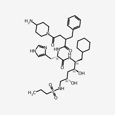 CCCS(=O)(=O)NC[C@@H](O)C[C@H](O)[C@H](CC1CCCCC1)NC(=O)[C@H](Cc1c[nH]cn1)NC(=O)C(CC(=O)N1CCC(N)CC1)Cc1ccccc1